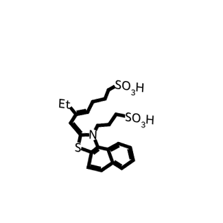 CCC(=CCCCS(=O)(=O)O)C=C1Sc2ccc3ccccc3c2N1CCCS(=O)(=O)O